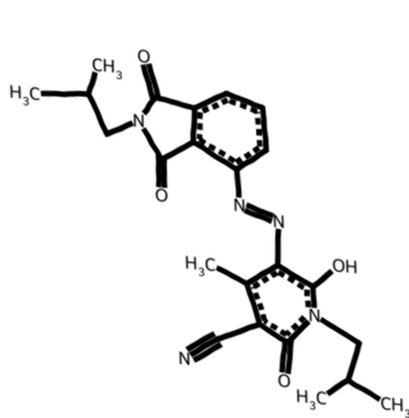 Cc1c(N=Nc2cccc3c2C(=O)N(CC(C)C)C3=O)c(O)n(CC(C)C)c(=O)c1C#N